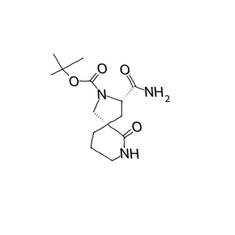 CC(C)(C)OC(=O)N1C[C@]2(CCCNC2=O)C[C@H]1C(N)=O